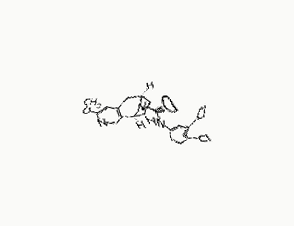 COc1cc2c(cn1)[C@@H]1CC[C@H](C2)N1C(=O)Nc1ccc(Cl)c(Cl)c1